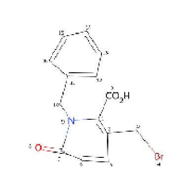 O=C(O)c1c(CBr)ccc(=O)n1Cc1ccccc1